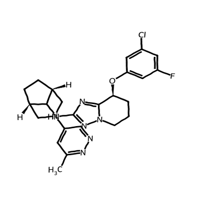 Cc1cc(N2C[C@H]3CC[C@@H](C2)C3Nc2nc3n(n2)CCC[C@@H]3Oc2cc(F)cc(Cl)c2)cnn1